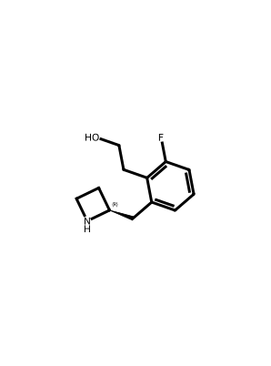 OCCc1c(F)cccc1C[C@@H]1CCN1